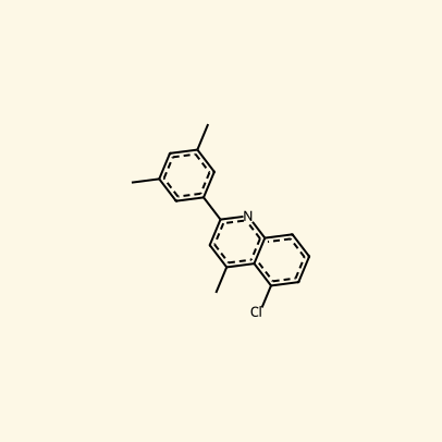 Cc1cc(C)cc(-c2cc(C)c3c(Cl)cccc3n2)c1